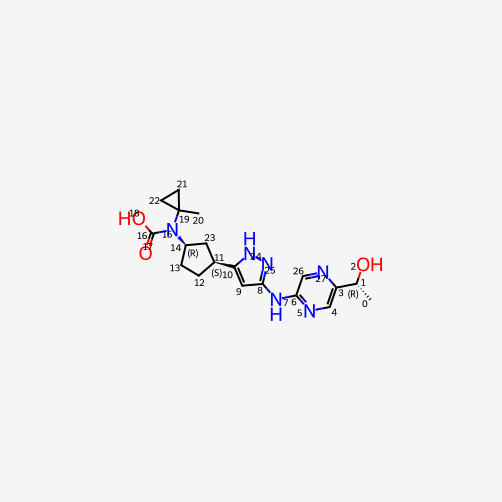 C[C@@H](O)c1cnc(Nc2cc([C@H]3CC[C@@H](N(C(=O)O)C4(C)CC4)C3)[nH]n2)cn1